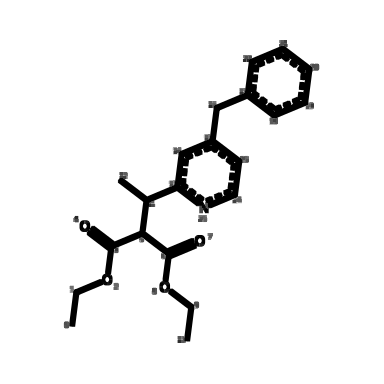 CCOC(=O)C(C(=O)OCC)C(C)c1cc(Cc2ccccc2)ccn1